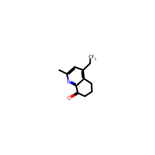 Cc1cc(CC(F)(F)F)c2c(n1)C(=O)CCC2